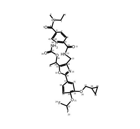 CCN(C)C(=O)c1ccc(C(=O)NCc2nc(-c3ccc(OC(F)F)c(OCC4CC4)c3)oc2C(C)OC(N)=O)nc1